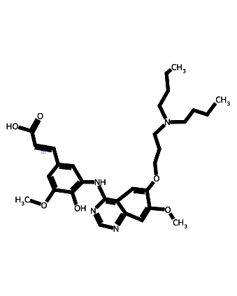 CCCCN(CCCC)CCCOc1cc2c(Nc3cc(/C=C/C(=O)O)cc(OC)c3O)ncnc2cc1OC